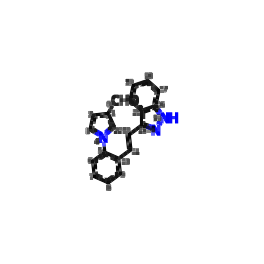 O=Cc1ccn(-c2ccccc2C=Cc2n[nH]c3ccccc23)c1